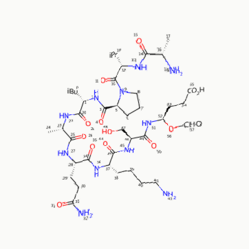 CCC(C)[C@H](NC(=O)[C@@H]1CCCN1C(=O)[C@@H](NC(=O)[C@H](C)N)C(C)C)C(=O)N[C@@H](C)C(=O)N[C@@H](CCC(N)=O)C(=O)N[C@@H](CCCCN)C(=O)N[C@@H](CO)C(=O)N[C@@H](CCC(=O)O)OC=O